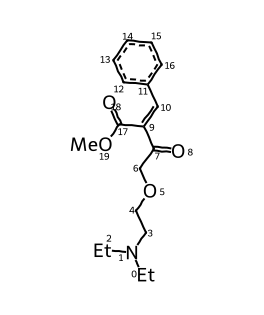 CCN(CC)CCOCC(=O)C(=Cc1ccccc1)C(=O)OC